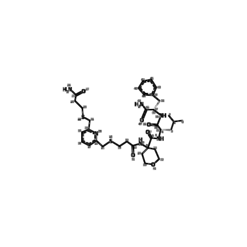 CC(C)C[C@H](NC(=O)C1(NC(=O)CCSCc2cccc(CSCCC(N)=O)n2)CCOCC1)C(=O)N[C@@H](Cc1ccccc1)C(N)=O